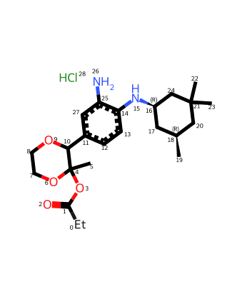 CCC(=O)OC1(C)OCCOC1c1ccc(N[C@@H]2C[C@H](C)CC(C)(C)C2)c(N)c1.Cl